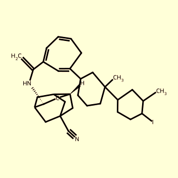 C=C(N[C@@H]1C[C@H]2CC3(C#N)CC2CC1C3)C1=CC=CCC(C2CCCC(C)(C3CCC(I)C(C)C3)C2)=C1